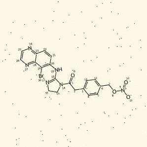 O=C(Cc1ccc(CO[N+](=O)[O-])cc1)N1CCN=C1Nc1ccc2nccnc2c1Br